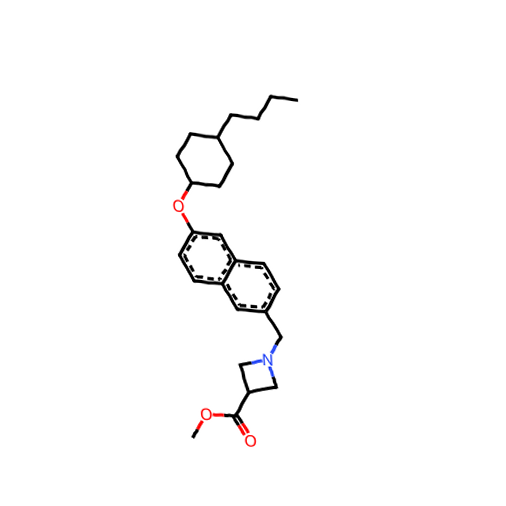 CCCCC1CCC(Oc2ccc3cc(CN4CC(C(=O)OC)C4)ccc3c2)CC1